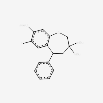 CCCCC1(CCCC)CSc2cc(OC)c(F)cc2C(c2ccccc2)C1